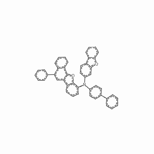 c1ccc(-c2ccc(N(c3ccc4c(c3)oc3ccccc34)c3cccc4c3oc3c5ccccc5c(-c5ccccc5)cc43)cc2)cc1